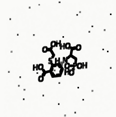 NC(CP(=O)(O)O)C(=O)O.O=C(O)CSc1ccccc1C(=O)O